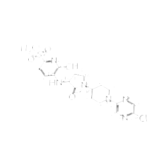 Cc1nc(S(C)(=O)=O)ccc1NC1CCN(C2CCN(c3cnc(Cl)cn3)CC2)C1=O